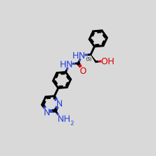 Nc1nccc(-c2ccc(NC(=O)N[C@H](CO)c3ccccc3)cc2)n1